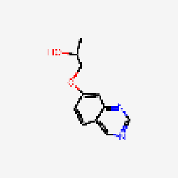 CC(O)COc1ccc2cncnc2c1